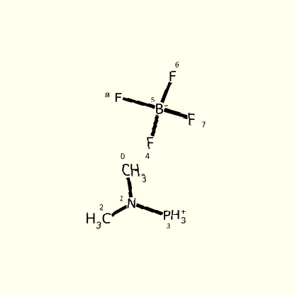 CN(C)[PH3+].F[B-](F)(F)F